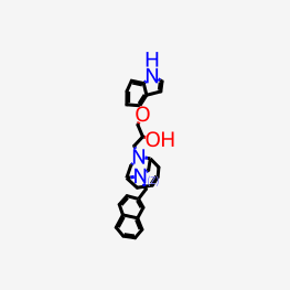 OC(COc1cccc2[nH]ccc12)CN1CC2C/C=C\CC1CN2Cc1ccc2ccccc2c1